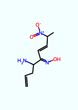 C=CCC(N)C(C=CC(C)[N+](=O)[O-])=NO